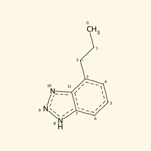 CC[CH]c1cccc2[nH]nnc12